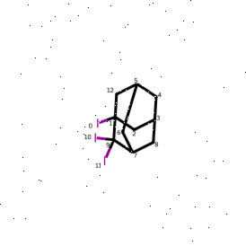 IC12CC3CC(CC(C3)C1(I)I)C2